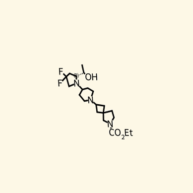 CCOC(=O)N1CCC2(CC(N3CCC(N4CC(F)(F)C[C@@H]4C(C)O)CC3)C2)C1